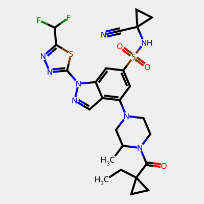 CCC1(C(=O)N2CCN(c3cc(S(=O)(=O)NC4(C#N)CC4)cc4c3cnn4-c3nnc(C(F)F)s3)CC2C)CC1